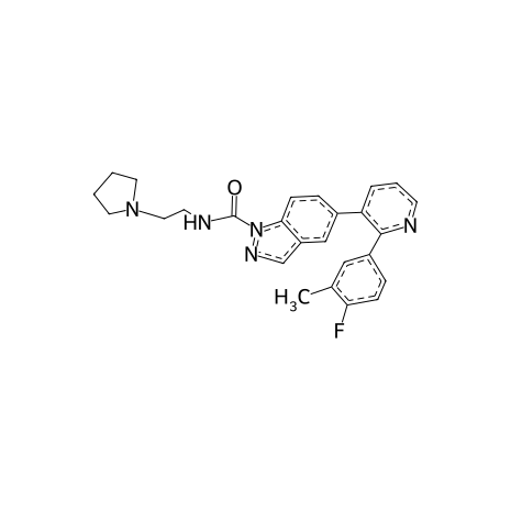 Cc1cc(-c2ncccc2-c2ccc3c(cnn3C(=O)NCCN3CCCC3)c2)ccc1F